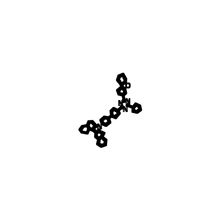 C1=Cc2ccc3c(c2CC1)c1cc2ccccc2cc1n3-c1ccc(-c2ccc(-c3nc(-c4ccccc4)nc(-c4ccc5c(c4)oc4ccccc45)n3)cc2)cc1